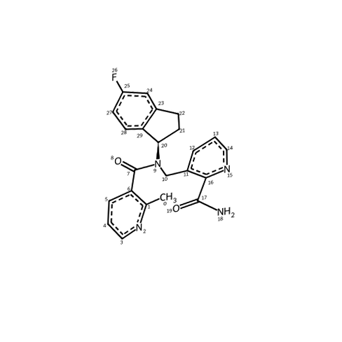 Cc1ncccc1C(=O)N(Cc1cccnc1C(N)=O)[C@@H]1CCc2cc(F)ccc21